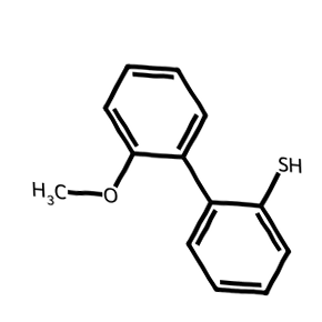 COc1ccccc1-c1ccccc1S